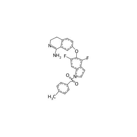 Cc1ccc(S(=O)(=O)n2ccc3c(F)c(Oc4ccc5c(c4)C(N)=NCC5)c(F)cc32)cc1